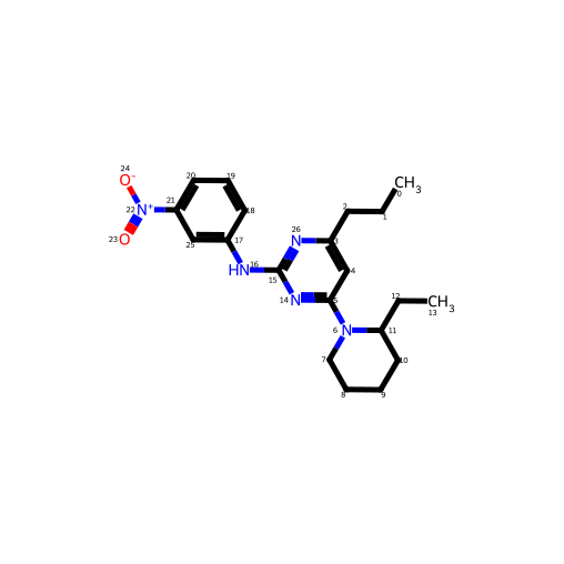 CCCc1cc(N2CCCCC2CC)nc(Nc2cccc([N+](=O)[O-])c2)n1